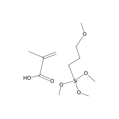 C=C(C)C(=O)O.COCCC[Si](OC)(OC)OC